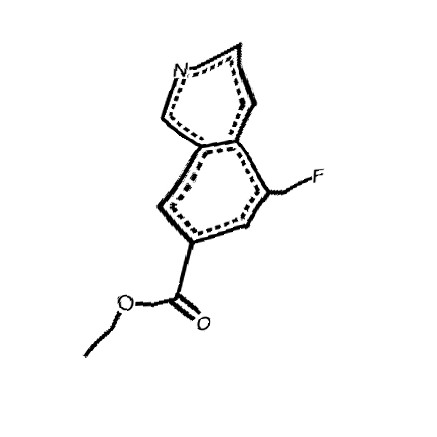 COC(=O)c1cc(F)c2ccncc2c1